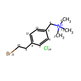 C[N+](C)(C)Cc1ccc(CCBr)cc1.[Cl-]